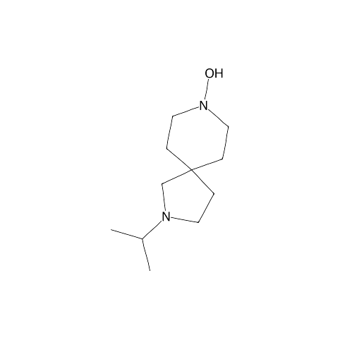 CC(C)N1CCC2(CCN(O)CC2)C1